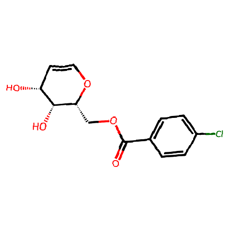 O=C(OC[C@H]1OC=C[C@@H](O)[C@H]1O)c1ccc(Cl)cc1